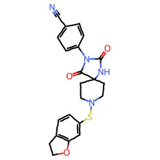 N#Cc1ccc(N2C(=O)NC3(CCN(Sc4ccc5c(c4)OCC5)CC3)C2=O)cc1